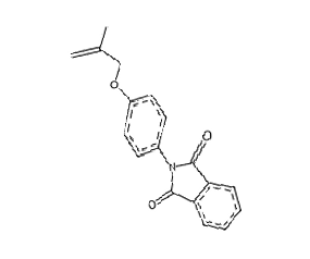 C=C(C)COc1ccc(N2C(=O)c3ccccc3C2=O)cc1